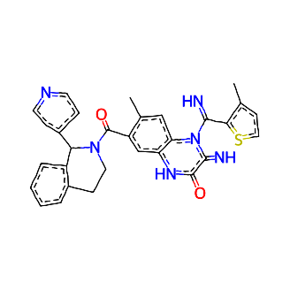 Cc1cc2c(cc1C(=O)N1CCc3ccccc3C1c1ccncc1)[nH]c(=O)c(=N)n2C(=N)c1sccc1C